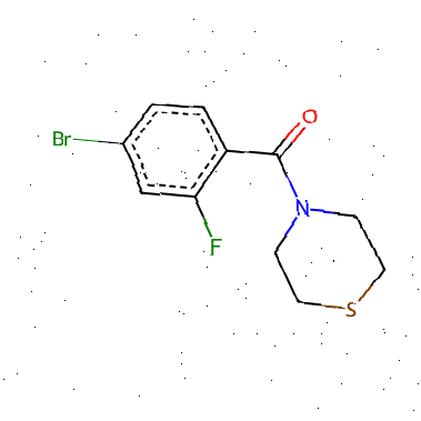 O=C(c1ccc(Br)cc1F)N1CCSCC1